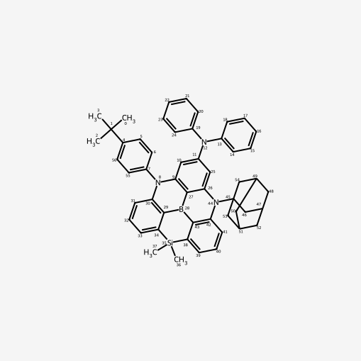 CC(C)(C)c1ccc(N2c3cc(N(c4ccccc4)c4ccccc4)cc4c3B3c5c2cccc5[Si](C)(C)c2cccc(c23)N4C23CC4CC(CC(C4)C2)C3)cc1